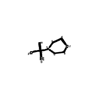 CCC(C)([O])N1CCOCC1